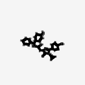 O=C(Cn1nc(-c2ccc(Cl)cc2)n(C2CC2)c1=O)NC(c1ccccc1)c1ccc(Cl)cc1